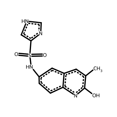 Cc1cc2cc(NS(=O)(=O)c3c[nH]cn3)ccc2nc1O